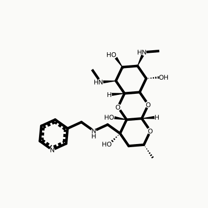 CN[C@@H]1[C@H](O)[C@H](NC)[C@H]2O[C@]3(O)[C@H](OC2[C@H]1O)O[C@H](C)C[C@@]3(O)CNCc1cccnc1